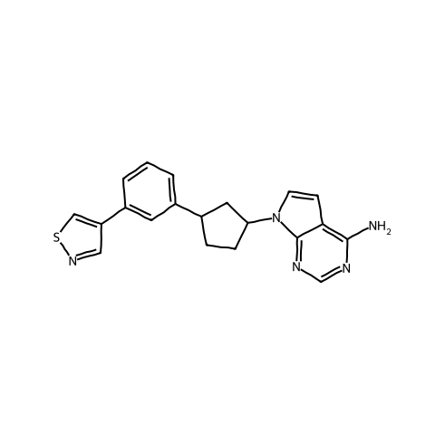 Nc1ncnc2c1ccn2C1CCC(c2cccc(-c3cnsc3)c2)C1